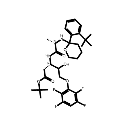 C[C@H](NC1(c2ccccc2C(C)(C)C)CCCCO1)C(=O)N[C@@H](CC(=O)OC(C)(C)C)C(O)COc1c(F)c(F)cc(F)c1F